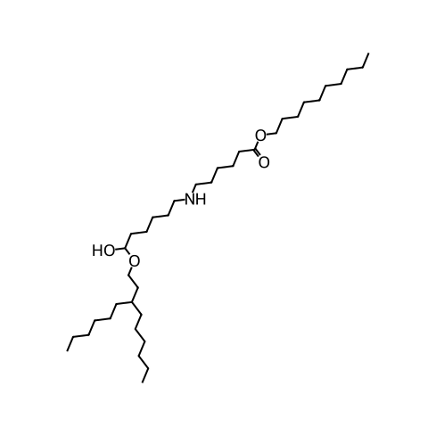 CCCCCCCCCCOC(=O)CCCCCNCCCCCC(O)OCCC(CCCCCC)CCCCCC